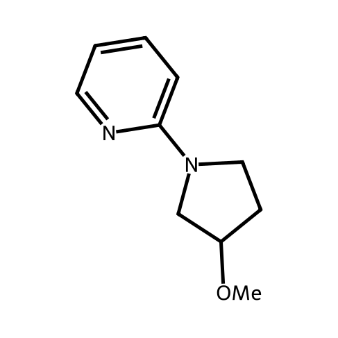 COC1CCN(c2ccccn2)C1